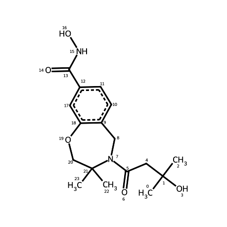 CC(C)(O)CC(=O)N1Cc2ccc(C(=O)NO)cc2OCC1(C)C